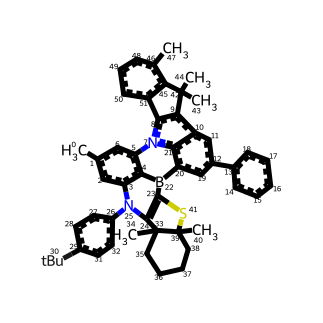 Cc1cc2c3c(c1)-n1c4c(c5cc(-c6ccccc6)cc(c51)B3C1=C(N2c2ccc(C(C)(C)C)cc2)C2(C)CCCCC2(C)S1)C(C)(C)c1c(C)cccc1-4